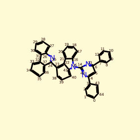 c1ccc(-c2cc(-c3ccccc3)nc(-n3c4ccccc4c4c(-c5nc6ccccc6c6ccccc56)cccc43)n2)cc1